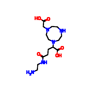 NCCNC(=O)CCC(C(=O)O)N1CCNCCN(CC(=O)O)CC1